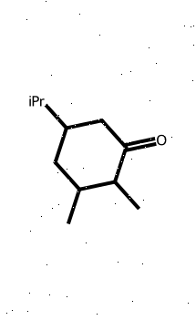 CC(C)C1CC(=O)C(C)C(C)C1